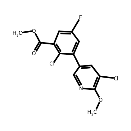 COC(=O)c1cc(F)cc(-c2cnc(OC)c(Cl)c2)c1Cl